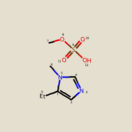 CCc1cncn1C.COS(=O)(=O)O